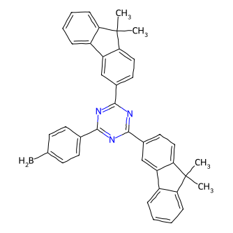 Bc1ccc(-c2nc(-c3ccc4c(c3)-c3ccccc3C4(C)C)nc(-c3ccc4c(c3)-c3ccccc3C4(C)C)n2)cc1